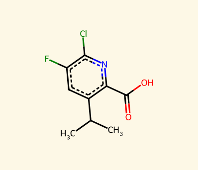 CC(C)c1cc(F)c(Cl)nc1C(=O)O